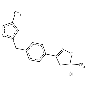 Cc1cnn(Cc2ccc(C3=NOC(O)(C(F)(F)F)C3)cc2)c1